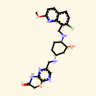 COc1ccc2ccc(Cl)c(CN[C@@H]3CC[C@@H](NCc4cnc5c(n4)NC(=O)CO5)C[C@@H]3O)c2n1